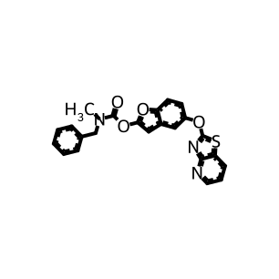 CN(Cc1ccccc1)C(=O)Oc1cc2cc(Oc3nc4ncccc4s3)ccc2o1